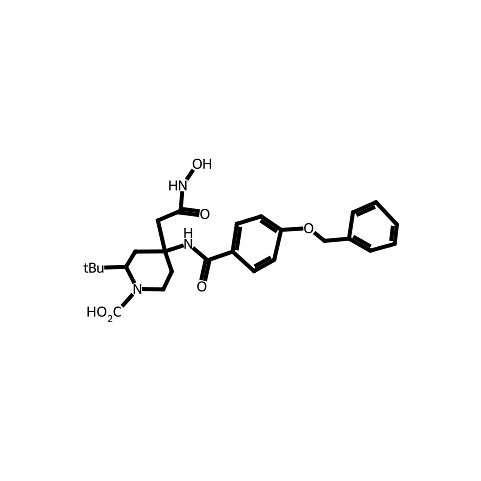 CC(C)(C)C1CC(CC(=O)NO)(NC(=O)c2ccc(OCc3ccccc3)cc2)CCN1C(=O)O